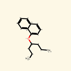 CCCC(CCC)Oc1cccc2ccccc12